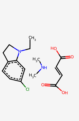 CCN1CCc2ccc(Cl)cc21.CNC.O=C(O)C=CC(=O)O